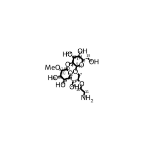 CO[C@@H]1[C@@H](O[C@@H]2C(OCCOCCN)O[C@@H](CO)[C@@H](O)[C@@H]2O)O[C@H](CO)[C@@H](O)[C@@H]1O